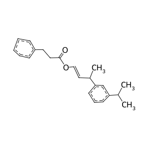 CC(C)c1cccc(C(C)C=COC(=O)CCc2ccccc2)c1